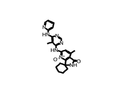 Cc1cc(Nc2ncnc(Nc3ccccn3)c2C)[n+]([O-])c2c1C(=O)NC21CCCCC1